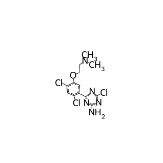 CN(C)CCOc1cc(-c2nc(N)nc(Cl)n2)c(Cl)cc1Cl